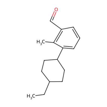 CCC1CCC(c2cccc(C=O)c2C)CC1